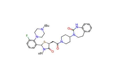 CCCN1C(=O)[C@H](CC(=O)N2CCC(N3CCc4ccccc4NC3=O)CC2)SC1c1cccc(F)c1N1CCN(C(C)(C)C)CC1